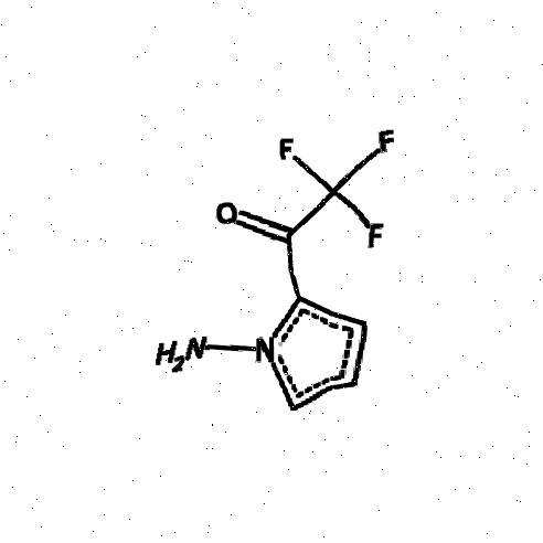 Nn1cccc1C(=O)C(F)(F)F